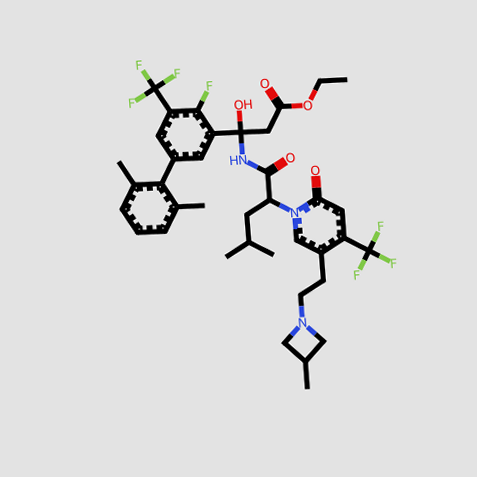 CCOC(=O)CC(O)(NC(=O)C(CC(C)C)n1cc(CCN2CC(C)C2)c(C(F)(F)F)cc1=O)c1cc(-c2c(C)cccc2C)cc(C(F)(F)F)c1F